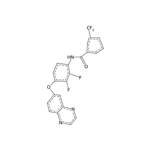 O=C(Nc1ccc(Oc2ccc3nccnc3c2)c(F)c1F)c1cccc(C(F)(F)F)c1